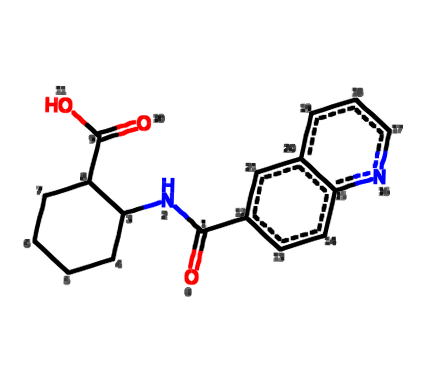 O=C(NC1CCCCC1C(=O)O)c1ccc2ncccc2c1